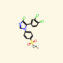 CS(=O)(=O)c1ccc(-n2cnc(Cl)c2-c2ccc(Cl)c(Cl)c2)cc1